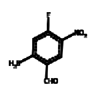 Bc1cc(F)c([N+](=O)[O-])cc1C=O